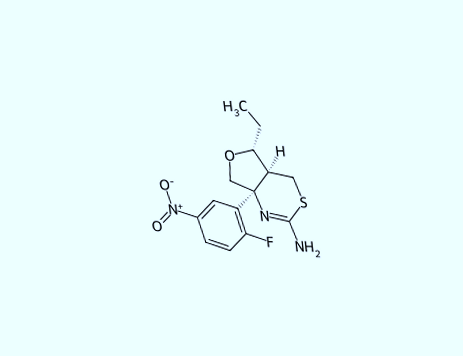 CC[C@H]1OC[C@]2(c3cc([N+](=O)[O-])ccc3F)N=C(N)SC[C@H]12